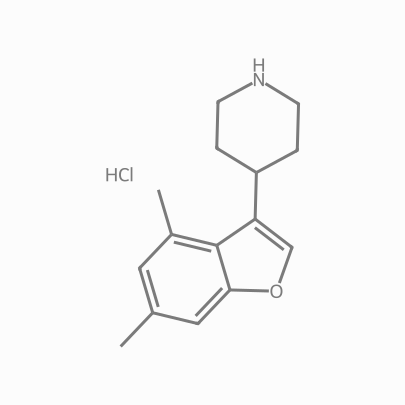 Cc1cc(C)c2c(C3CCNCC3)coc2c1.Cl